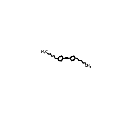 CCCCCCc1ccc(C#Cc2ccc(CCCCCC)cc2)cc1